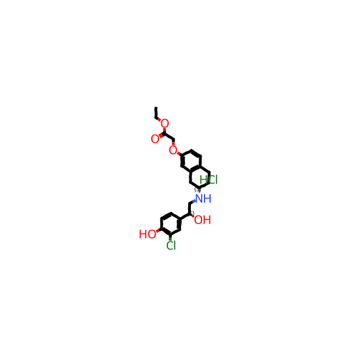 CCOC(=O)COc1ccc2c(c1)C[C@@H](NC[C@@H](O)c1ccc(O)c(Cl)c1)CC2.Cl